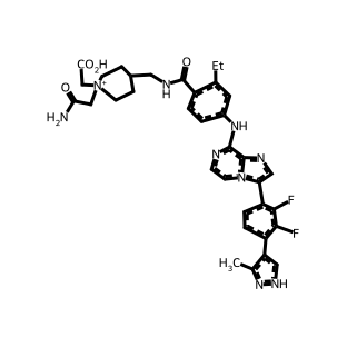 CCc1cc(Nc2nccn3c(-c4ccc(-c5c[nH]nc5C)c(F)c4F)cnc23)ccc1C(=O)NCC1CC[N+](CC(N)=O)(CC(=O)O)CC1